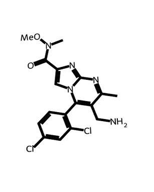 CON(C)C(=O)c1cn2c(-c3ccc(Cl)cc3Cl)c(CN)c(C)nc2n1